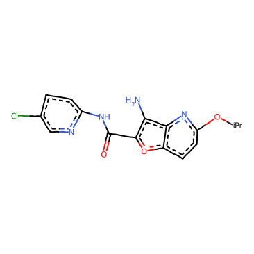 CC(C)Oc1ccc2oc(C(=O)Nc3ccc(Cl)cn3)c(N)c2n1